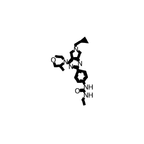 CCNC(=O)Nc1ccc(-c2nc3c(c(N4CCOCC4C)n2)CN(CC2CC2)C3)cc1